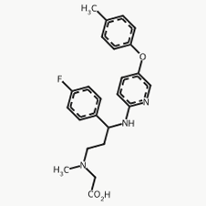 Cc1ccc(Oc2ccc(NC(CCN(C)CC(=O)O)c3ccc(F)cc3)nc2)cc1